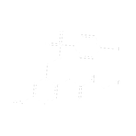 Cc1ccc(S(=O)(=O)OCc2cc([N+](=O)[O-])ccc2CC(=O)NCC(F)(F)F)cc1